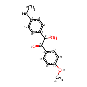 CBc1ccc(C(O)C(=O)c2ccc(OC)cc2)cc1